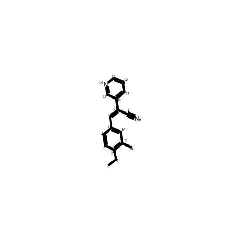 CCc1ccc(/C=C(\C#N)c2cccnc2)cc1C